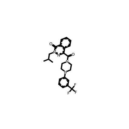 CC(C)Cn1nc(C(=O)N2CCN(c3cccc(C(F)(F)F)c3)CC2)c2ccccc2c1=O